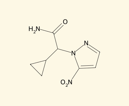 NC(=O)C(C1CC1)n1nccc1[N+](=O)[O-]